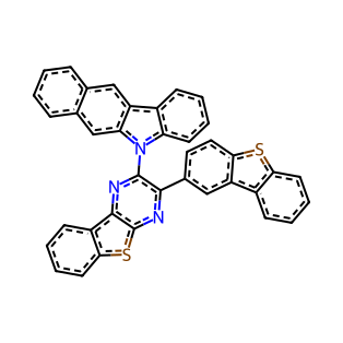 c1ccc2cc3c(cc2c1)c1ccccc1n3-c1nc2c(nc1-c1ccc3sc4ccccc4c3c1)sc1ccccc12